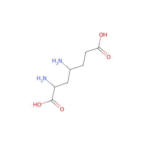 NC(CCC(=O)O)CC(N)C(=O)O